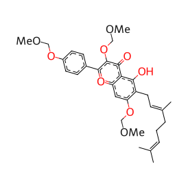 COCOc1ccc(-c2oc3cc(OCOC)c(C/C=C(\C)CCC=C(C)C)c(O)c3c(=O)c2OCOC)cc1